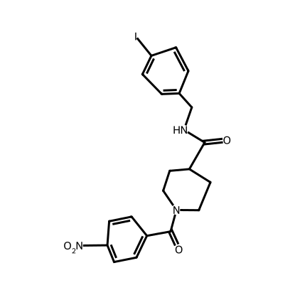 O=C(NCc1ccc(I)cc1)C1CCN(C(=O)c2ccc([N+](=O)[O-])cc2)CC1